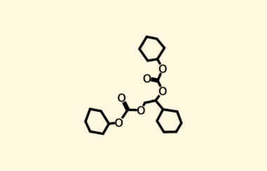 O=C(OC[C](OC(=O)OC1CCCCC1)C1CCCCC1)OC1CCCCC1